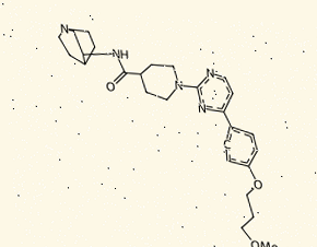 COCCCOc1ccc(-c2ccnc(N3CCC(C(=O)NC4CN5CCC4CC5)CC3)n2)cc1